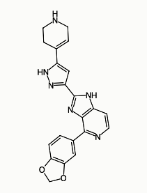 C1=C(c2cc(-c3nc4c(-c5ccc6c(c5)OCO6)nccc4[nH]3)n[nH]2)CCNC1